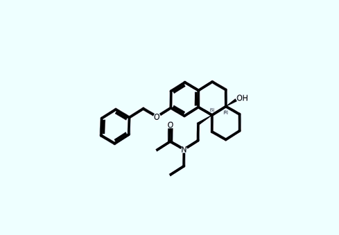 CCN(CC[C@]12CCCC[C@@]1(O)CCc1ccc(OCc3ccccc3)cc12)C(C)=O